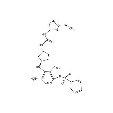 COc1nsc(NC(=O)N[C@@H]2CC[C@@H](Nc3c(N)cnc4c3ccn4S(=O)(=O)c3ccccc3)C2)n1